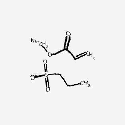 C=CC(=O)OC.CCCS(=O)(=O)[O-].[Na+]